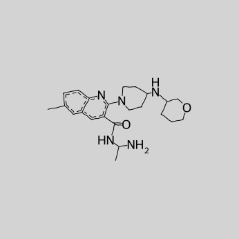 Cc1ccc2nc(N3CCC(NC4CCCOC4)CC3)c(C(=O)NC(C)N)cc2c1